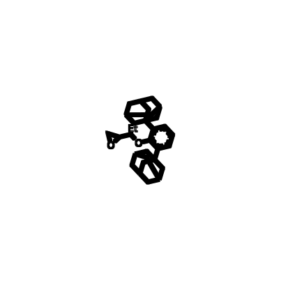 CCC(Oc1c(C23CC4CC(CC(C4)C2)C3)cccc1C12CC3CC(CC(C3)C1)C2)C1CO1